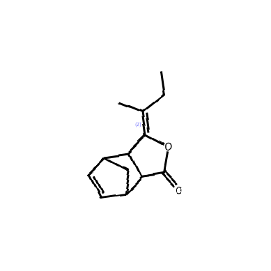 CC/C(C)=C1\OC(=O)C2C3C=CC(C3)C12